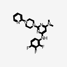 CN(C)c1cc(Nc2ccc(F)c(F)c2F)nc(N2CCN(c3ccccn3)CC2)n1